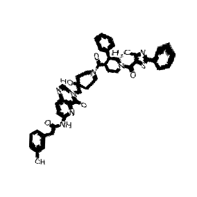 Cc1nc(-c2ccccc2)sc1C(=O)N1CCC(C(=O)N2CCC(O)(Cn3cnc4ccc(NC(=O)Cc5cccc(O)c5)nc4c3=O)CC2)C(c2ccccc2)C1